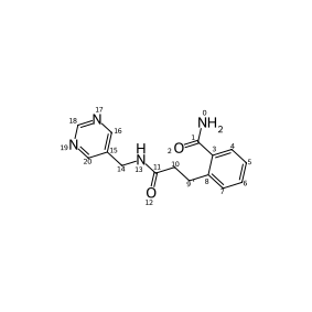 NC(=O)c1ccccc1[CH]CC(=O)NCc1cncnc1